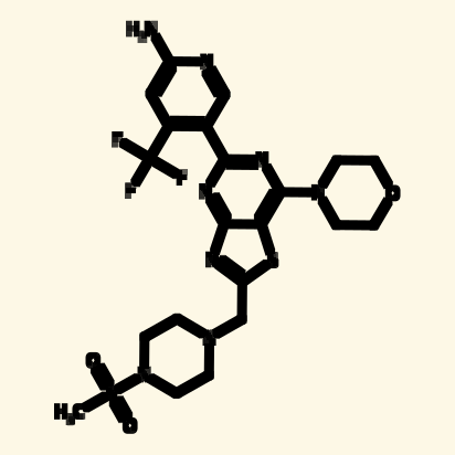 CS(=O)(=O)N1CCN(Cc2nc3nc(-c4cnc(N)cc4C(F)(F)F)nc(N4CCOCC4)c3s2)CC1